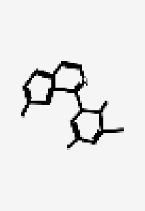 CC1=CC(c2nccc3ccc(C)cc23)C(C)C(C)=C1